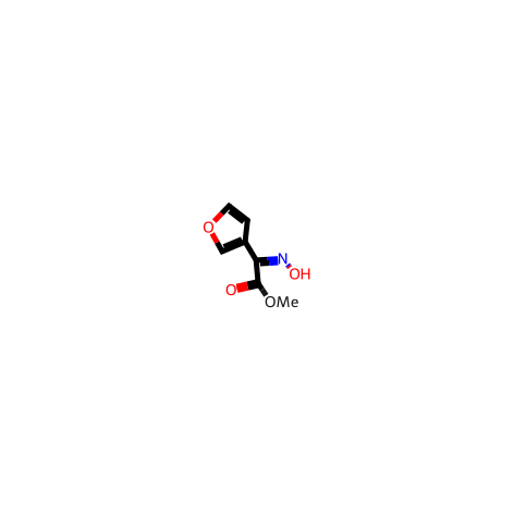 COC(=O)C(=NO)c1ccoc1